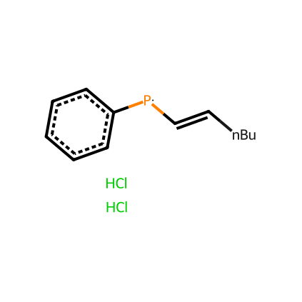 CCCCC=C[P]c1ccccc1.Cl.Cl